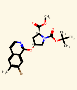 COC(=O)[C@@H]1C[C@@H](Oc2nccc3cc(C)c(Br)cc23)CN1C(=O)OC(C)(C)C